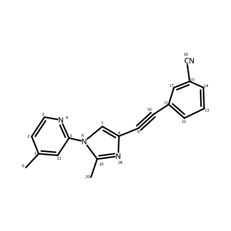 Cc1ccnc(-n2cc(C#Cc3cccc(C#N)c3)nc2C)c1